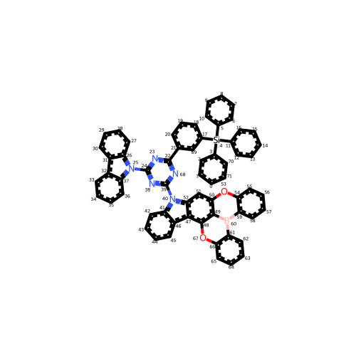 c1ccc([Si](c2ccccc2)(c2ccccc2)c2cccc(-c3nc(-n4c5ccccc5c5ccccc54)nc(-n4c5ccccc5c5c6c7c(cc54)Oc4ccccc4B7c4ccccc4O6)n3)c2)cc1